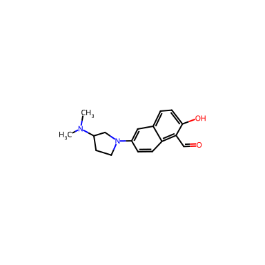 CN(C)C1CCN(c2ccc3c(C=O)c(O)ccc3c2)C1